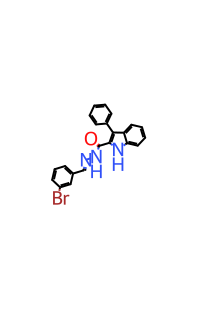 O=C(NN=Cc1cccc(Br)c1)c1[nH]c2ccccc2c1-c1ccccc1